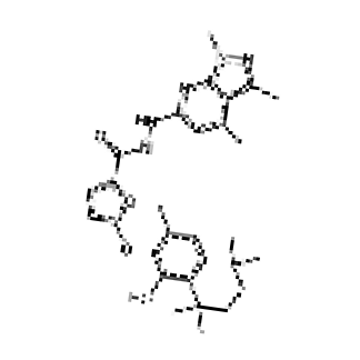 Cc1cc2c(c(O)c1Oc1ccc(C(=O)NNc3cc(C)c4c(C)nn(C)c4n3)o1)C(C)(C)CCC2(C)C